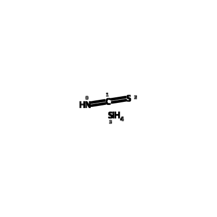 N=C=S.[SiH4]